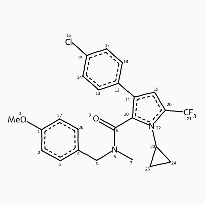 COc1ccc(CN(C)C(=O)c2c(-c3ccc(Cl)cc3)cc(C(F)(F)F)n2C2CC2)cc1